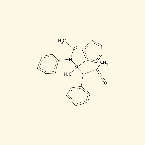 CC(=O)N(c1ccccc1)[Si](C)(c1ccccc1)N(C(C)=O)c1ccccc1